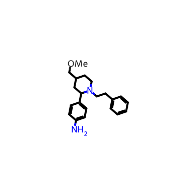 COCC1CCN(CCc2ccccc2)C(c2ccc(N)cc2)C1